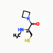 CN[C@H](CS)C(=O)N1CCC1